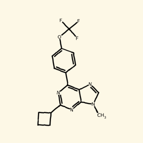 Cn1cnc2c(-c3ccc(OC(F)(F)F)cc3)nc(C3CCC3)nc21